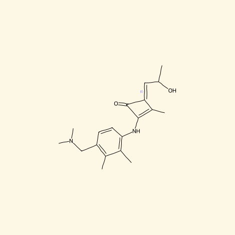 CC1=C(Nc2ccc(CN(C)C)c(C)c2C)C(=O)/C1=C/C(C)O